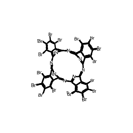 Brc1c(Br)c(Br)c2c(c1Br)-c1nc3nc(nc4[nH]c(nc5[nH]c(nc-2n1)c1c(Br)c(Br)c(Br)c(Br)c51)c1c(Br)c(Br)c(Br)c(Br)c41)-c1c(Br)c(Br)c(Br)c(Br)c1-3